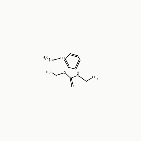 CCNC(=O)OCC.CNC.c1ccccc1